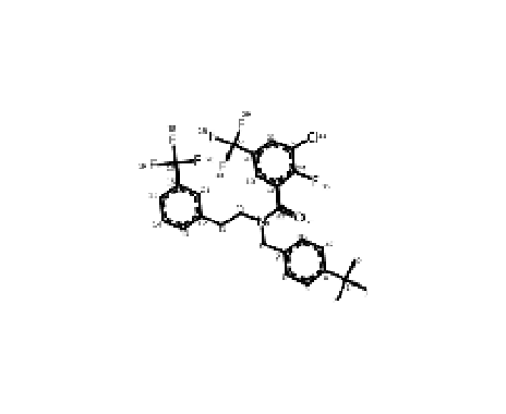 CC(C)(C)c1ccc(CN(CCc2cccc(C(F)(F)F)c2)C(=O)c2cc(C(F)(F)F)cc(Cl)c2F)cc1